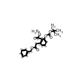 CC(C)(C)OC(=O)Oc1cccc(CC(=O)OCc2ccccc2)c1C(=O)OP